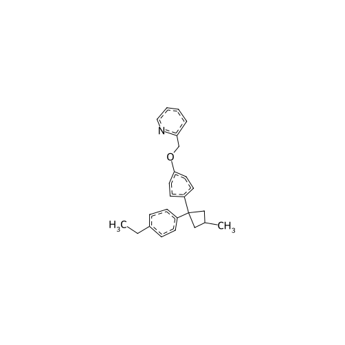 CCc1ccc(C2(c3ccc(OCc4ccccn4)cc3)CC(C)C2)cc1